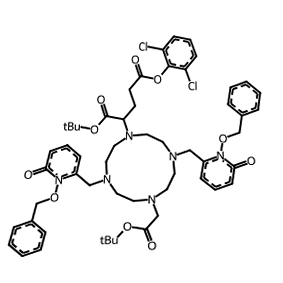 CC(C)(C)OC(=O)CN1CCN(Cc2cccc(=O)n2OCc2ccccc2)CCN(C(CCC(=O)Oc2c(Cl)cccc2Cl)C(=O)OC(C)(C)C)CCN(Cc2cccc(=O)n2OCc2ccccc2)CC1